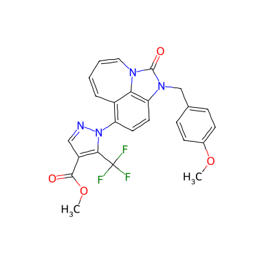 COC(=O)c1cnn(-c2ccc3c4c2C=CC=Cn4c(=O)n3Cc2ccc(OC)cc2)c1C(F)(F)F